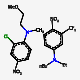 CCCCN(CC)c1ccc([N+](=O)[O-])c(C(F)(F)F)c1.COCCN(C)c1ccc([N+](=O)[O-])cc1Cl